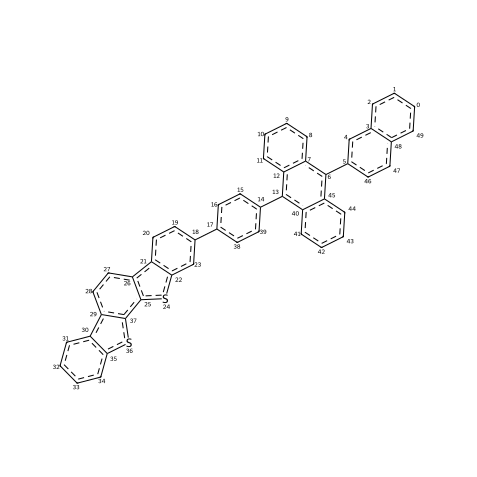 c1ccc2cc(-c3c4ccccc4c(-c4ccc(-c5ccc6c(c5)sc5c6ccc6c7ccccc7sc65)cc4)c4ccccc34)ccc2c1